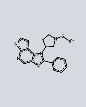 CCCSN1CCC(n2c(-c3ccccc3)nc3cnc4[nH]ccc4c32)C1